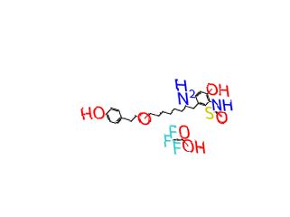 NC(CCCCCCOCCc1ccc(O)cc1)Cc1ccc(O)c2[nH]c(=O)sc12.O=C(O)C(F)(F)F